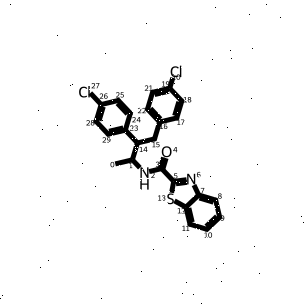 CC(NC(=O)c1nc2ccccc2s1)C(Cc1ccc(Cl)cc1)c1ccc(Cl)cc1